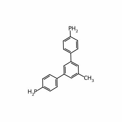 Cc1cc(-c2ccc(P)cc2)cc(-c2ccc(P)cc2)c1